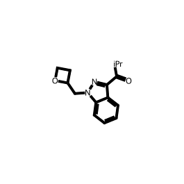 CC(C)C(=O)c1nn(CC2CCO2)c2ccccc12